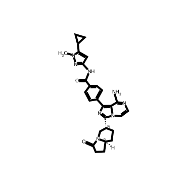 Cn1nc(NC(=O)c2ccc(-c3nc([C@@H]4CC[C@H]5CCC(=O)N5C4)n4ccnc(N)c34)cc2)cc1C1CC1